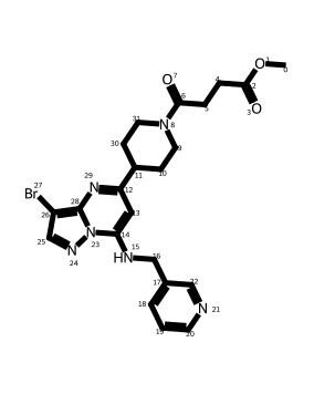 COC(=O)CCC(=O)N1CCC(c2cc(NCc3cccnc3)n3ncc(Br)c3n2)CC1